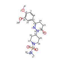 COc1ccc(C2=NN(C3CCN(S(=O)(=O)N(C)C)CC3)C(=O)CC2)cc1OC